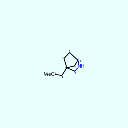 COCC12CCC(C1)NC2